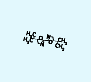 CC(C)[C@H]1CN=C(C2=NC[C@H](C(C)C)O2)O1